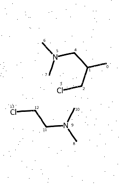 CC(CCl)CN(C)C.CN(C)CCCl